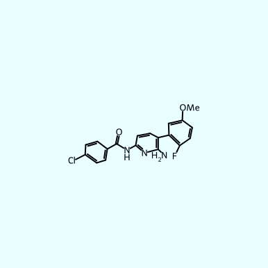 COc1ccc(F)c(-c2ccc(NC(=O)c3ccc(Cl)cc3)nc2N)c1